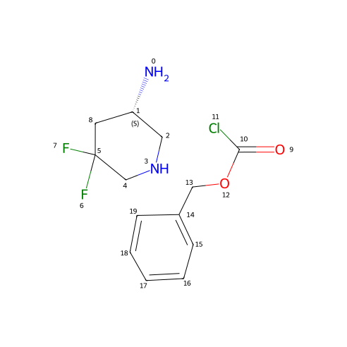 N[C@@H]1CNCC(F)(F)C1.O=C(Cl)OCc1ccccc1